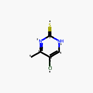 Cc1nc(=S)[nH]cc1Cl